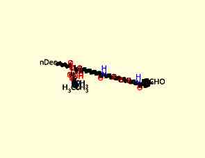 CCCCCCCCCCCCCCCC(=O)OC[C@H](COP(=O)(O)OCC[N+](C)(C)C)OC(=O)CCCCCCCC(=O)NCCCOCCOCCOCCCNC(=O)c1ccc(C=O)cc1